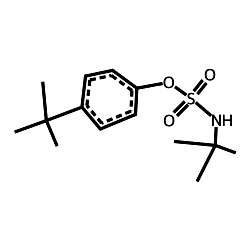 CC(C)(C)NS(=O)(=O)Oc1ccc(C(C)(C)C)cc1